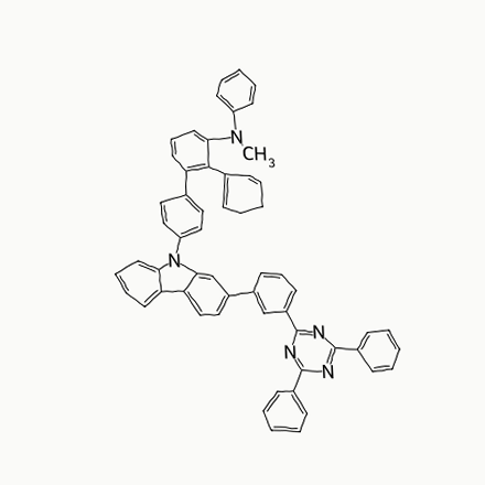 CN(c1ccccc1)c1cccc(-c2ccc(-n3c4ccccc4c4ccc(-c5cccc(-c6nc(-c7ccccc7)nc(-c7ccccc7)n6)c5)cc43)cc2)c1C1=CCCC=C1